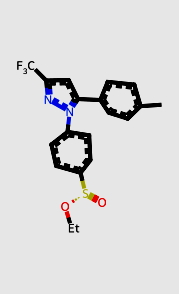 CCO[S@@](=O)c1ccc(-n2nc(C(F)(F)F)cc2-c2ccc(C)cc2)cc1